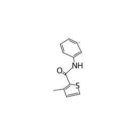 Cc1ccsc1C(=O)Nc1c[c]ccc1